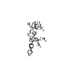 COC(C(=O)N1CC(=O)C2C1CCN2C(=O)C(CC(C)C)NC(=O)c1ccc(N2CCOCC2)cc1)C(C)(C)C